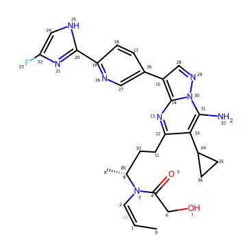 C/C=C\N(C(=O)CO)[C@H](C)CCc1nc2c(-c3ccc(-c4nc(F)c[nH]4)nc3)cnn2c(N)c1C1CC1